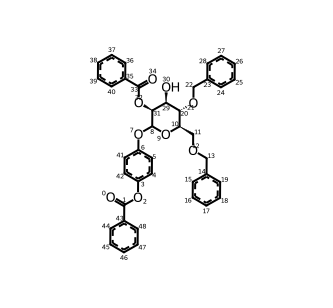 O=C(Oc1ccc(OC2O[C@H](COCc3ccccc3)[C@@H](OCc3ccccc3)[C@H](O)[C@@H]2OC(=O)c2ccccc2)cc1)c1ccccc1